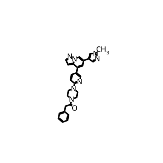 Cn1cc(-c2cc(-c3ccc(N4CCN(C(=O)Cc5ccccc5)CC4)nc3)c3ccnn3c2)cn1